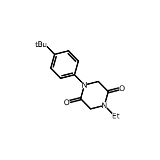 CCN1CC(=O)N(c2ccc(C(C)(C)C)cc2)CC1=O